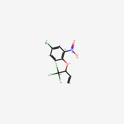 C=CC(Oc1ccc(Br)cc1[N+](=O)[O-])C(F)(F)F